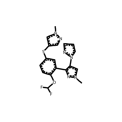 Cn1cc(Sc2ccc(OC(F)F)c(-c3nn(C)cc3-n3cccn3)c2)cn1